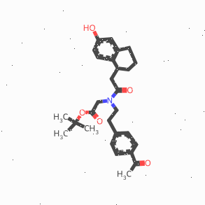 CC(=O)c1ccc(CCN(CC(=O)OC(C)(C)C)C(=O)CC2CCCc3cc(O)ccc32)cc1